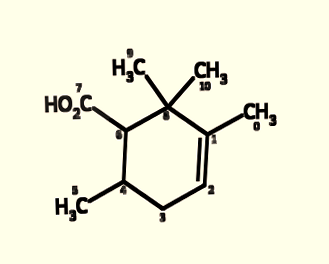 CC1=CCC(C)C(C(=O)O)C1(C)C